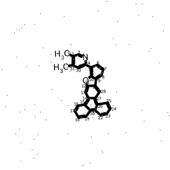 Cc1cnc(-c2cccc3c2oc2cc4c5ccccc5c5ccccc5c4cc23)cc1C